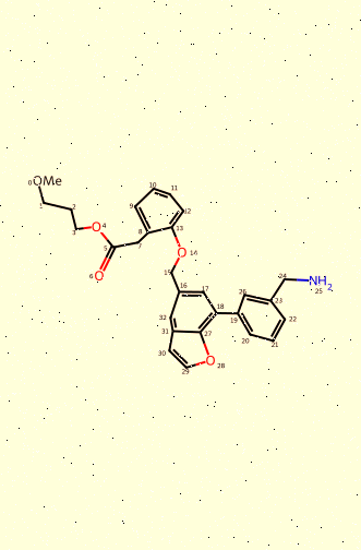 COCCCOC(=O)Cc1ccccc1OCc1cc(-c2cccc(CN)c2)c2occc2c1